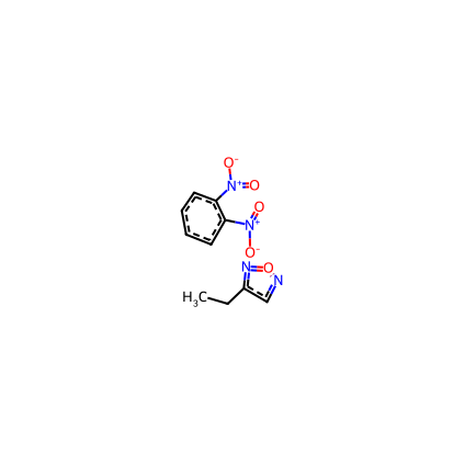 CCc1cnon1.O=[N+]([O-])c1ccccc1[N+](=O)[O-]